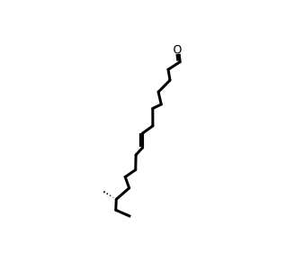 CC[C@H](C)CCCCC=CCCCCCCC=O